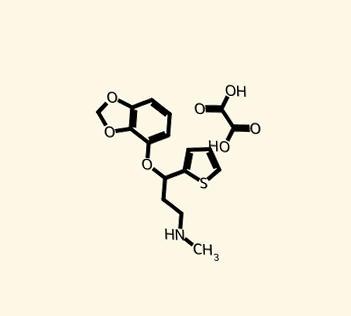 CNCCC(Oc1cccc2c1OCO2)c1cccs1.O=C(O)C(=O)O